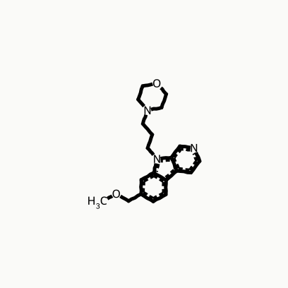 COCc1ccc2c3ccncc3n(CCCN3CCOCC3)c2c1